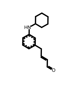 O=CC=CCc1cccc(NC2CCCCC2)c1